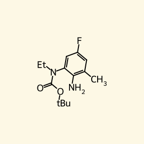 CCN(C(=O)OC(C)(C)C)c1cc(F)cc(C)c1N